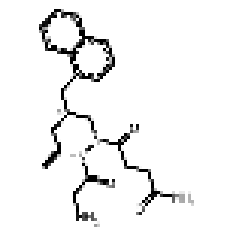 C=CC[C@@H](Cc1cccc2ccccc12)CN(NC(=O)CN)C(=O)CCC(N)=O